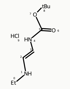 CCN/C=C/NC(=O)OC(C)(C)C.Cl